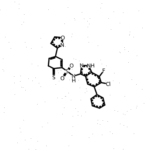 O=S(=O)(Nc1n[nH]c2c(F)c(Cl)c(-c3ccccc3)cc12)C1=CC(c2ccon2)=CCC1=S